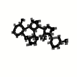 Fc1cccc(Cl)c1-c1noc(-c2cnn(-c3cccc(Cl)c3)c2C(F)(F)F)c1-c1cnco1